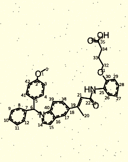 COc1ccc(C(c2ccccc2)n2ccc3cc(/C(C)=C/C(=O)Nc4ccccc4OCCCC(=O)O)ccc32)cc1